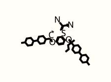 C=C=C(Oc1ccc(OC(C)(CCC)C2CCC(C3CCC(C)CC3)CC2)c(SC=C(C#N)C#N)c1)C1CCC(C2CCC(C)CC2)CC1